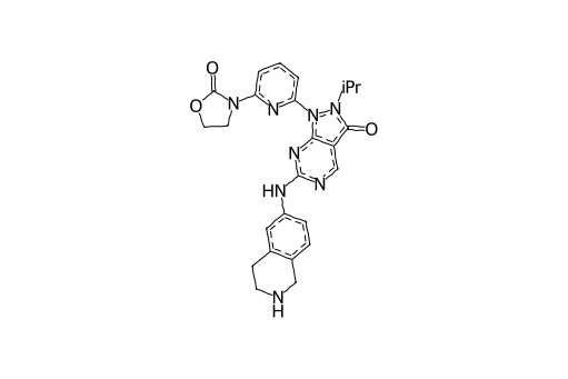 CC(C)n1c(=O)c2cnc(Nc3ccc4c(c3)CCNC4)nc2n1-c1cccc(N2CCOC2=O)n1